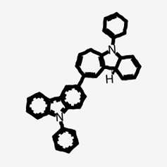 C1=CCCC(N2C3=C(C=C(c4ccc5c(c4)c4ccccc4n5-c4ccccc4)C=CC3)[C@H]3C=CC=CC32)=C1